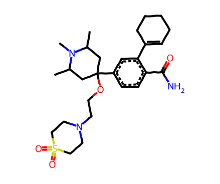 CC1CC(OCCN2CCS(=O)(=O)CC2)(c2ccc(C(N)=O)c(C3=CCCCC3)c2)CC(C)N1C